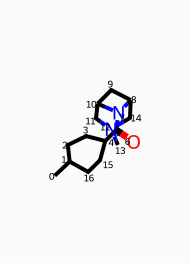 CC1CCC(C(=O)N2C3CC2CN(C)C3)CC1